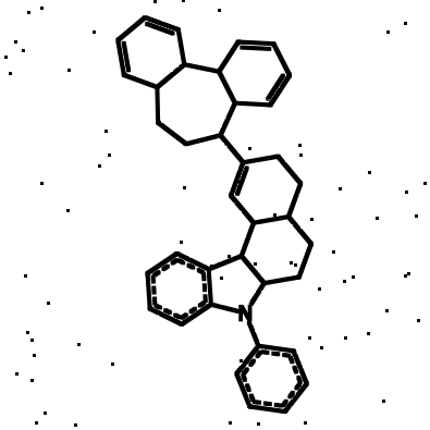 C1=CC2CCC(C3=CC4C(CC3)CCC3C4c4ccccc4N3c3ccccc3)C3C=CC=CC3C2C=C1